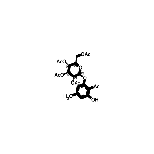 CC(=O)OC[C@H]1O[C@@H](Oc2cc(C)cc(O)c2C(C)=O)[C@H](OC(C)=O)[C@@H](OC(C)=O)[C@@H]1OC(C)=O